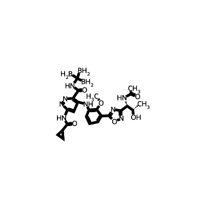 BC(B)(B)NC(=O)c1nnc(NC(=O)C2CC2)cc1Nc1cccc(-c2nc([C@H](NC(C)=O)[C@H](C)O)no2)c1OC